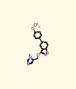 Cn1cncc1COc1noc2ccc(-c3ccc(OC(F)(F)F)cc3)cc12